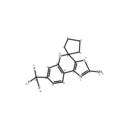 Nc1nc2c(s1)C1(CCCC1)Oc1cc(C(F)(F)F)ccc1-2